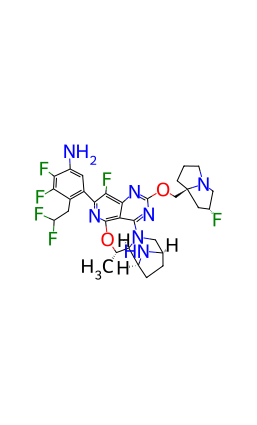 C[C@@H]1Oc2nc(-c3cc(N)c(F)c(F)c3CC(F)F)c(F)c3nc(OC[C@@]45CCCN4C[C@H](F)C5)nc(c23)N2C[C@H]3CC[C@H](N3)[C@@H]12